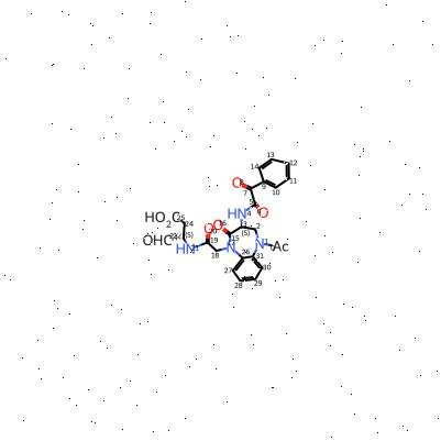 CC(=O)N1C[C@H](NC(=O)C(=O)c2ccccc2)C(=O)N(CC(=O)N[C@H](C=O)CC(=O)O)c2ccccc21